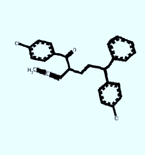 C=C=CC(CCC(c1ccccc1)c1ccc(Cl)cc1)C(=O)c1ccc(Cl)cc1